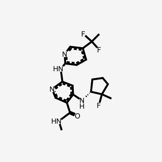 CNC(=O)c1cnc(Nc2ccc(C(C)(F)F)cn2)cc1N[C@@H]1CCCC1(C)F